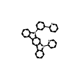 c1ccc(-c2cccc(-n3c4ccccc4c4cc5c6ccccc6n(-c6ccccn6)c5cc43)c2)nc1